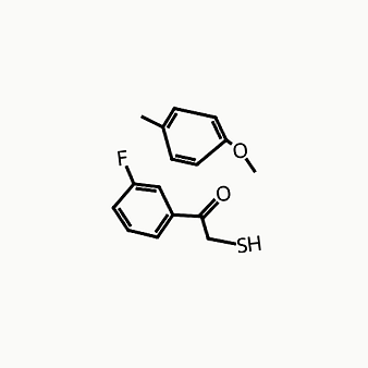 COc1ccc(C)cc1.O=C(CS)c1cccc(F)c1